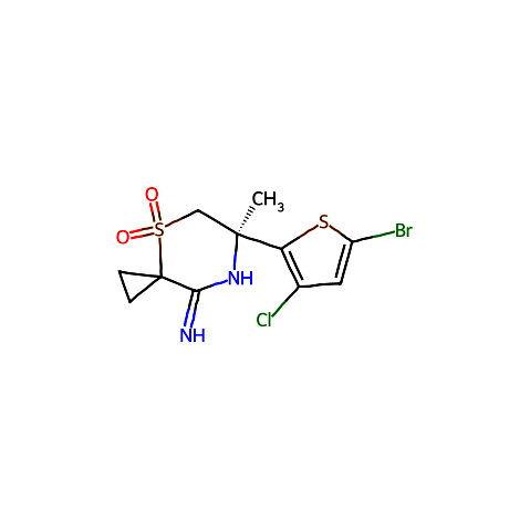 C[C@@]1(c2sc(Br)cc2Cl)CS(=O)(=O)C2(CC2)C(=N)N1